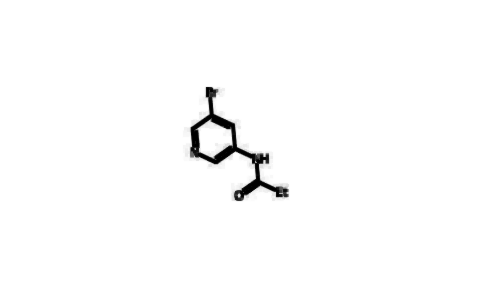 CCC(=O)Nc1cncc(Br)c1